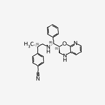 C[C@H](CN[C@H](c1ccccc1)[C@@H]1CNc2cccnc2O1)c1ccc(C#N)cc1